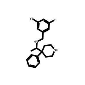 CC(NCc1cc(Cl)cc(Cl)c1)C1(c2ccccc2)CCNCC1